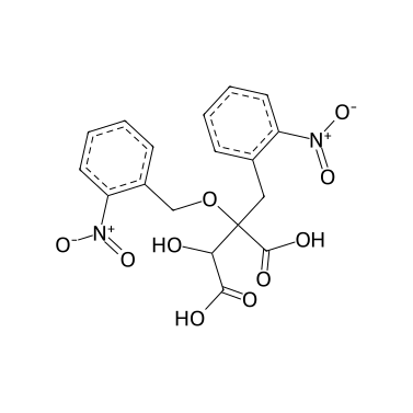 O=C(O)C(O)C(Cc1ccccc1[N+](=O)[O-])(OCc1ccccc1[N+](=O)[O-])C(=O)O